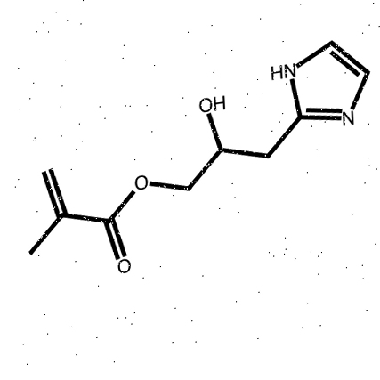 C=C(C)C(=O)OCC(O)Cc1ncc[nH]1